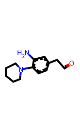 Nc1cc(CC=O)ccc1N1CCCCC1